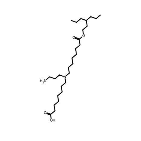 CCCC(CCC)CCOC(=O)CCCCCCCN(CCCN)CCCCCCCC(=O)O